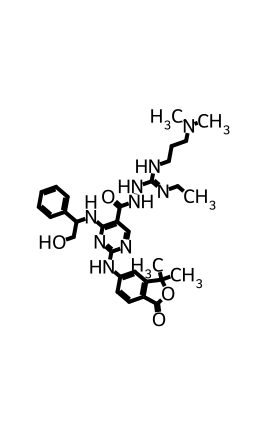 CCN=C(NCCCN(C)C)NNC(=O)c1cnc(Nc2ccc3c(c2)C(C)(C)OC3=O)nc1NC(CO)c1ccccc1